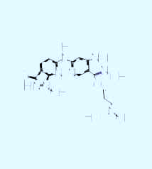 C/N=C(\OCCCN(C)C)c1cnc(Nc2ccc3c(=O)[nH]n(C)c3n2)cc1N